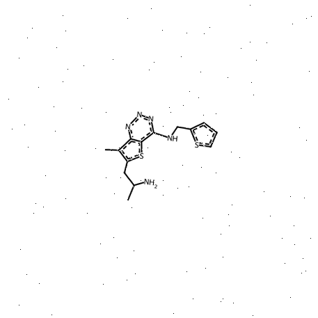 Cc1c(CC(C)N)sc2c(NCc3cccs3)nnnc12